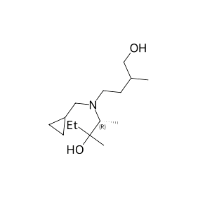 CCC(C)(O)[C@@H](C)N(CCC(C)CO)CC1CC1